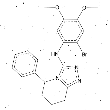 COc1cc(Br)c(Nc2nnc3n2C(c2ccccc2)CCC3)cc1OC